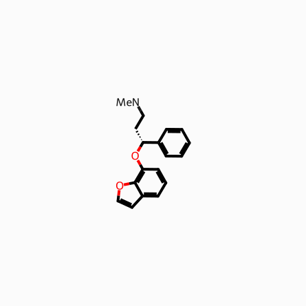 CNCC[C@@H](Oc1cccc2ccoc12)c1ccccc1